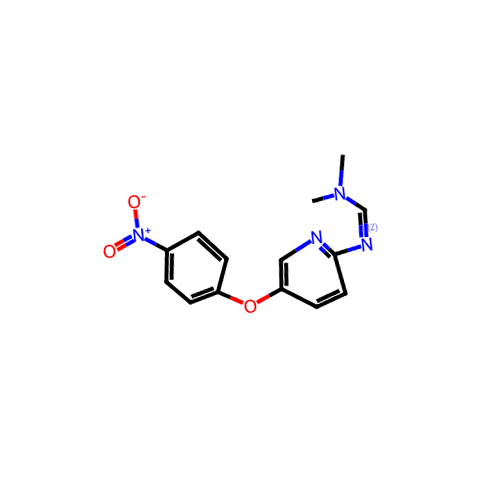 CN(C)/C=N\c1ccc(Oc2ccc([N+](=O)[O-])cc2)cn1